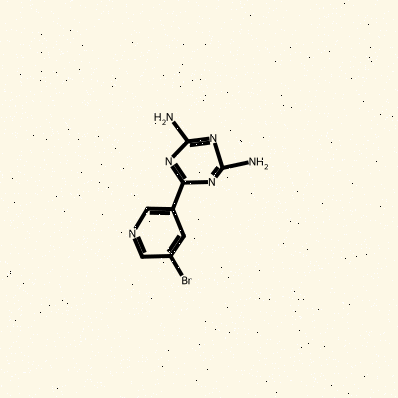 Nc1nc(N)nc(-c2cncc(Br)c2)n1